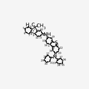 CC1(C)c2ccccc2-c2ccc(Nc3ccc4c(c3)sc3ccc(N(c5ccccc5)c5ccccc5)cc34)cc21